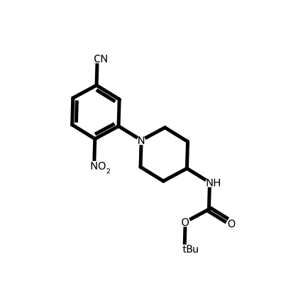 CC(C)(C)OC(=O)NC1CCN(c2cc(C#N)ccc2[N+](=O)[O-])CC1